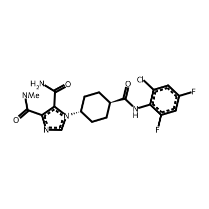 CNC(=O)c1ncn([C@H]2CC[C@H](C(=O)Nc3c(F)cc(F)cc3Cl)CC2)c1C(N)=O